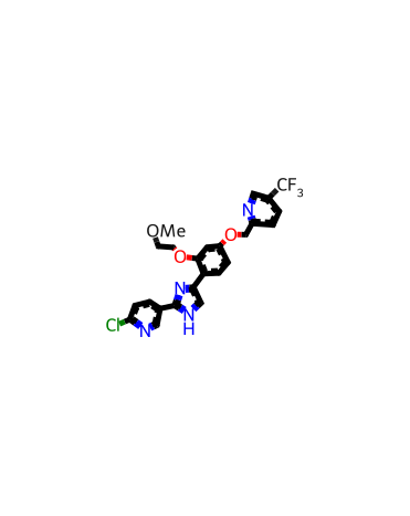 COCCOc1cc(OCc2ccc(C(F)(F)F)cn2)ccc1-c1c[nH]c(-c2ccc(Cl)nc2)n1